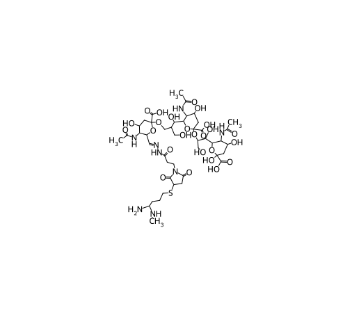 CNC(N)CCCSC1CC(=O)N(CCC(=O)N/N=C/C2OC(OCC(CO)C(O)C3OC(OC(CO)C(O)C4OC(O)(C(=O)O)CC(O)C4NC(C)=O)(C(=O)O)CC(O)C3NC(C)=O)(C(=O)O)CC(O)C2NC(C)=O)C1=O